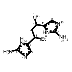 CCCC(CC(CC)c1cnc(N)[nH]1)c1cnc(N)[nH]1